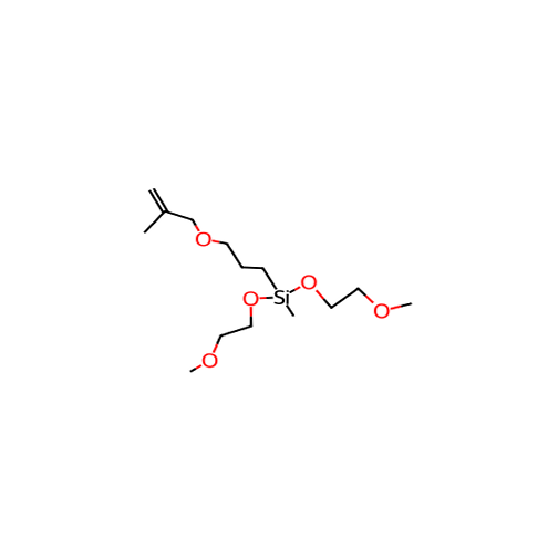 C=C(C)COCCC[Si](C)(OCCOC)OCCOC